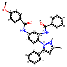 COc1ccc(C(=O)Nc2ccc(-n3nc(C)cc3-c3ccccc3)c(NC(=O)c3ccccc3)c2)cc1